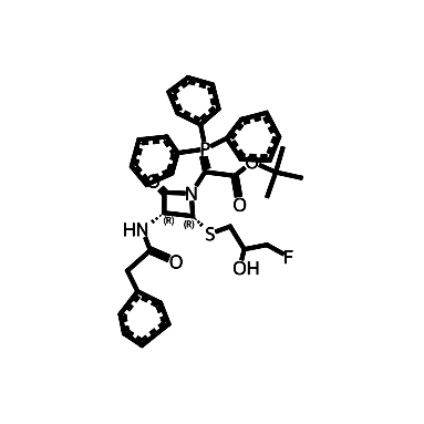 CC(C)(C)OC(=O)C(N1C(=O)[C@@H](NC(=O)Cc2ccccc2)[C@H]1SCC(O)CF)=P(c1ccccc1)(c1ccccc1)c1ccccc1